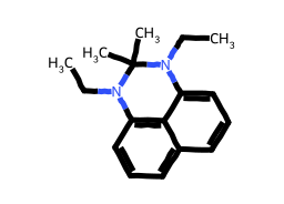 CCN1c2cccc3cccc(c23)N(CC)C1(C)C